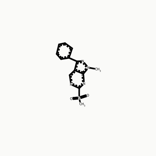 Cn1nc(-c2ccccc2)c2cnc(S(C)(=O)=O)nc21